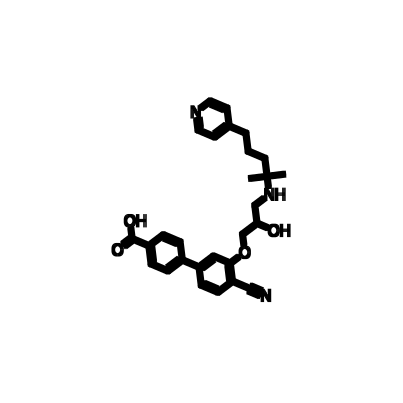 CC(C)(CCCc1ccncc1)NCC(O)COc1cc(-c2ccc(C(=O)O)cc2)ccc1C#N